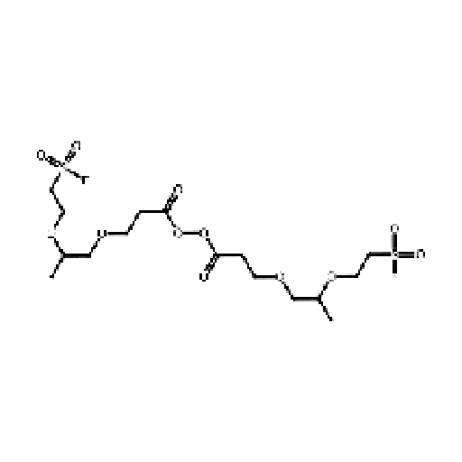 CC(COCCC(=O)OOC(=O)CCOCC(C)OCCS(=O)(=O)F)OCCS(=O)(=O)F